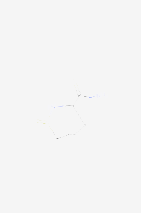 NC(=S)C1CCCS(=S)N1